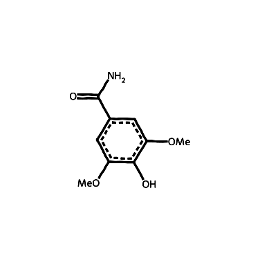 COc1cc(C(N)=O)cc(OC)c1O